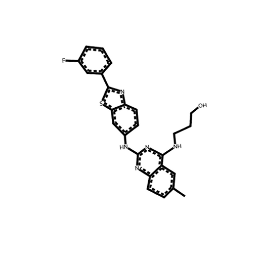 Cc1ccc2nc(Nc3ccc4nc(-c5cccc(F)c5)sc4c3)nc(NCCCO)c2c1